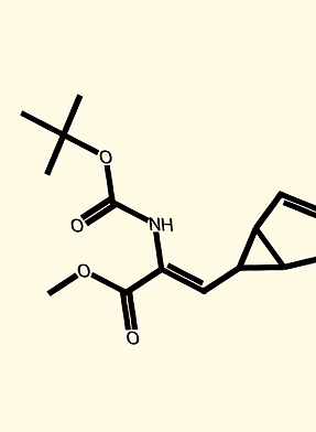 COC(=O)C(=CC1C2C=CCC21)NC(=O)OC(C)(C)C